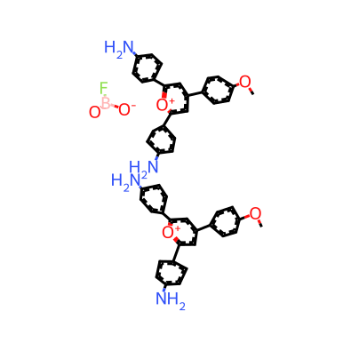 COc1ccc(-c2cc(-c3ccc(N)cc3)[o+]c(-c3ccc(N)cc3)c2)cc1.COc1ccc(-c2cc(-c3ccc(N)cc3)[o+]c(-c3ccc(N)cc3)c2)cc1.[O-]B([O-])F